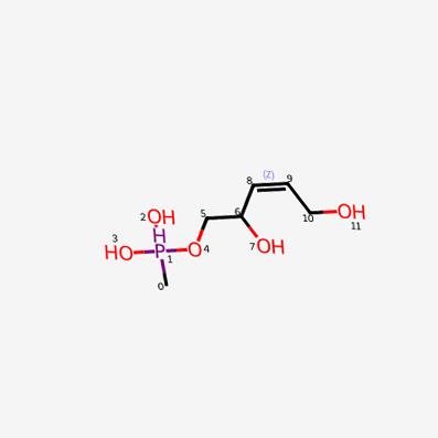 C[PH](O)(O)OCC(O)/C=C\CO